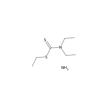 CCSC(=S)N(CC)CC.N